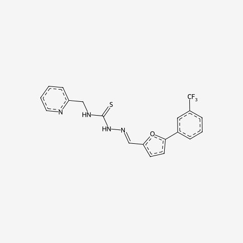 FC(F)(F)c1cccc(-c2ccc(C=NNC(=S)NCc3ccccn3)o2)c1